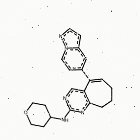 C1=C(c2ccn3nccc3c2)c2cnc(NC3CCOCC3)nc2CCC1